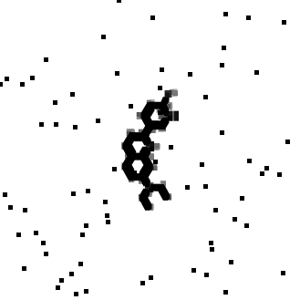 CCN(CC)c1ccc2ccc(C3=CN[C@H](F)C=C3)nc2c1